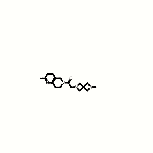 Cc1ccc2c(n1)CCN(C(=O)CN1CC3(CN(C)C3)C1)C2